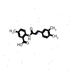 Cc1ccc(NC(=O)/C=C/c2ccc(C)c(C)c2)c(C(=O)O)c1